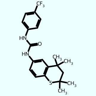 CC1(C)CC(C)(C)c2cc(NC(=O)Nc3ccc(C(F)(F)F)cc3)ccc2S1